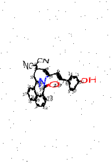 N#CC(C#N)=C1C=C(C=Cc2ccc(O)cc2)N(C(=O)c2ccccc2)C(c2ccccc2)C1